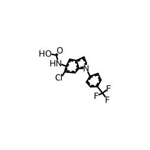 O=C(O)Nc1cc2ccn(-c3ccc(C(F)(F)F)cc3)c2cc1Cl